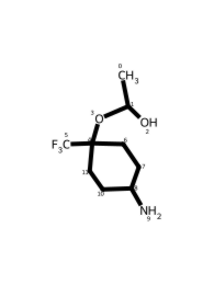 CC(O)OC1(C(F)(F)F)CCC(N)CC1